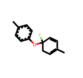 CC1=CCC(F)(Oc2ccc(C)cc2)C=C1